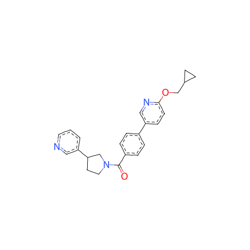 O=C(c1ccc(-c2ccc(OCC3CC3)nc2)cc1)N1CCC(c2cccnc2)C1